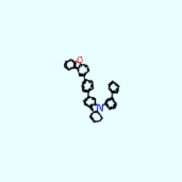 C1=Cc2c(n(-c3cccc(-c4ccccc4)c3)c3cc(-c4ccc(-c5ccc6oc7ccccc7c6c5)cc4)ccc23)CC1